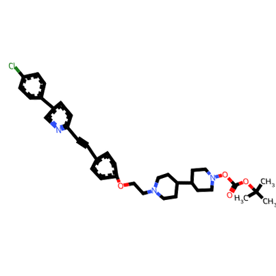 CC(C)(C)OC(=O)ON1CCC(C2CCN(CCOc3ccc(C#Cc4ccc(-c5ccc(Cl)cc5)cn4)cc3)CC2)CC1